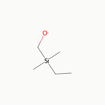 CC[Si](C)(C)C[O]